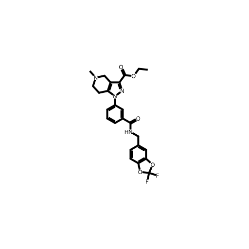 CCOC(=O)c1nn(-c2cccc(C(=O)NCc3ccc4c(c3)OC(F)(F)O4)c2)c2c1CN(C)CC2